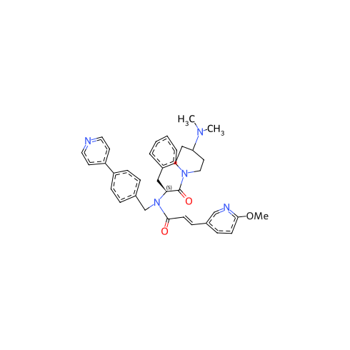 COc1ccc(C=CC(=O)N(Cc2ccc(-c3ccncc3)cc2)[C@@H](Cc2ccccc2)C(=O)N2CCC(N(C)C)CC2)cn1